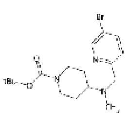 CN(Cc1ccc(Br)cn1)C1CCN(C(=O)OC(C)(C)C)CC1